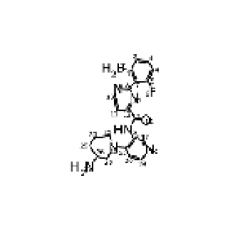 Bc1cccc(F)c1-c1nccc(C(=O)Nc2cnccc2N2CCC[C@H](N)C2)n1